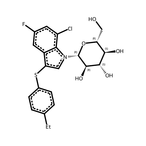 CCc1ccc(Sc2cn([C@@H]3O[C@H](CO)[C@@H](O)[C@H](O)[C@H]3O)c3c(Cl)cc(F)cc23)cc1